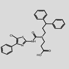 O=C(O)CCN(CCC(c1ccccc1)c1ccccc1)C(=O)Nc1nc(-c2ccccc2)c(Cl)s1